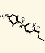 C=C(/C=C\C(N)=C/CC)S(=O)(=O)c1ccc(N)cc1